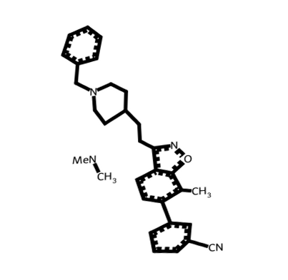 CNC.Cc1c(-c2cccc(C#N)c2)ccc2c(CCC3CCN(Cc4ccccc4)CC3)noc12